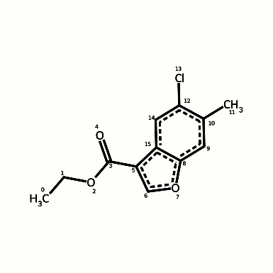 CCOC(=O)c1coc2cc(C)c(Cl)cc12